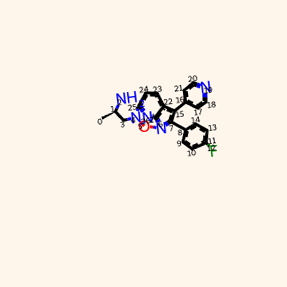 C[C@@H](N)CN1On2c(-c3ccc(F)cc3)c(-c3ccncc3)c3ccc1nc32